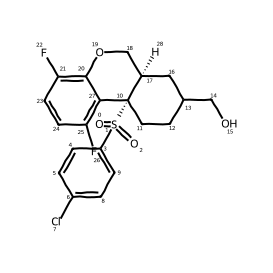 O=S(=O)(c1ccc(Cl)cc1)[C@@]12CCC(CO)C[C@@H]1COc1c(F)ccc(F)c12